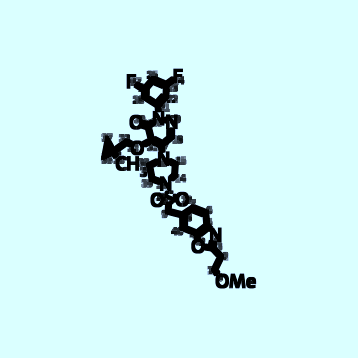 COCCc1nc2ccc(CS(=O)(=O)N3CCN(c4cnn(-c5cc(F)cc(F)c5)c(=O)c4OCC4(C)CC4)CC3)cc2o1